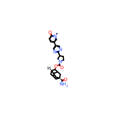 Cn1cc(-c2cnc(C3CCN(C(=O)OC4C5CC6C[C@@H]4C[C@@](C(N)=O)(C6)C5)C3)nc2)ccc1=O